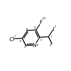 CC(I)c1ncc(Cl)cc1F